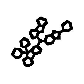 c1ccc(-c2nc3ccc(N(c4ccc5c(c4)C(c4ccccc4)(c4ccccc4)c4ccccc4-5)c4cccc5c4sc4ccccc45)cc3o2)cc1